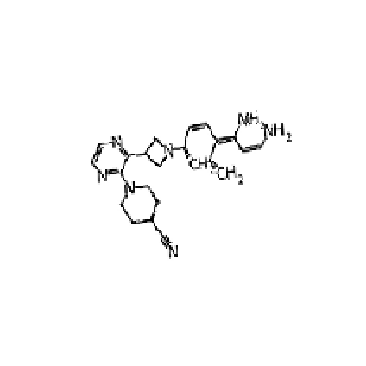 C=CC(/C=C\C(=C)N1CC(c2nccnc2N2CCC(C#N)CC2)C1)=C(N)\C=C/N